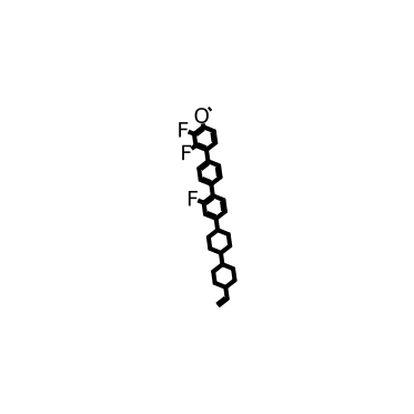 C=CC1CCC(C2CCC(c3ccc(-c4ccc(-c5ccc(OC)c(F)c5F)cc4)c(F)c3)CC2)CC1